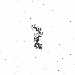 CC(NC(=O)c1cc(C(F)(F)F)nn1C)c1cc(-c2ccnc(C(F)(F)F)c2)no1